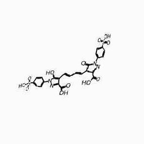 O=C(O)C1=NN(c2ccc(S(=O)(=O)O)cc2)C(=O)C1C=CC=Cc1c(C(=O)O)nn(-c2ccc(S(=O)(=O)O)cc2)c1O